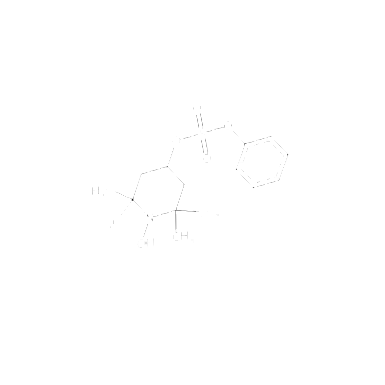 CC1(C)CC(OS(=O)(=O)Oc2ccccc2)CC(C)(C)N1O